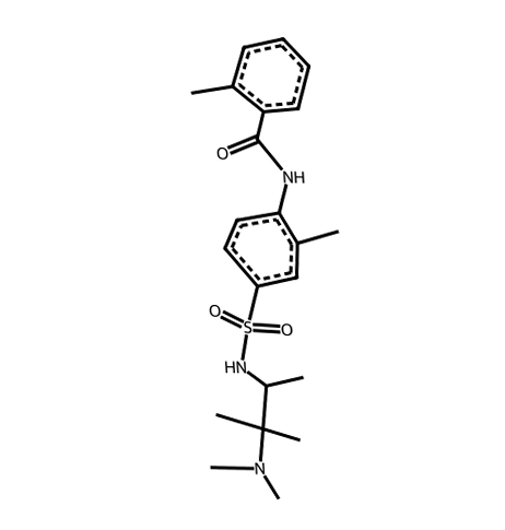 Cc1cc(S(=O)(=O)NC(C)C(C)(C)N(C)C)ccc1NC(=O)c1ccccc1C